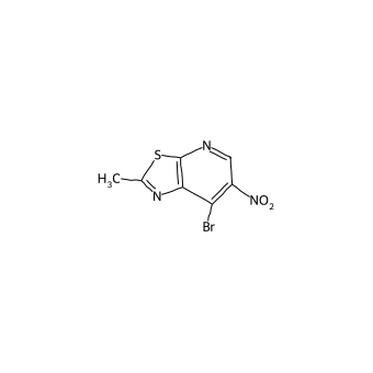 Cc1nc2c(Br)c([N+](=O)[O-])cnc2s1